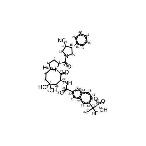 C[C@@]1(O)CC[C@H]2CC[C@@H](C(=O)N3C[C@@H](C#N)[C@H](c4ccccc4)C3)N2C(=O)[C@@H](NC(=O)c2cc3cc(C(F)(F)P(=O)(O)O)ccc3s2)C1